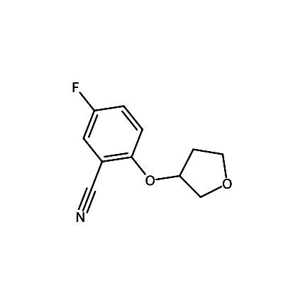 N#Cc1cc(F)ccc1OC1CCOC1